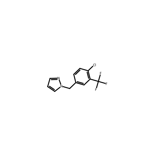 FC(F)(F)c1cc(Cn2cccn2)ccc1Cl